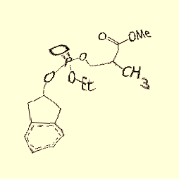 CCOP(=O)(OCC(C)C(=O)OC)OC1Cc2ccccc2C1